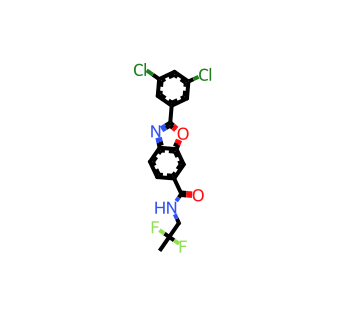 CC(F)(F)CNC(=O)c1ccc2nc(-c3cc(Cl)cc(Cl)c3)oc2c1